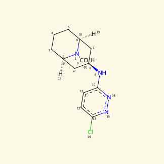 O=C(O)N1[C@@H]2CCC[C@H]1C[C@@H](Nc1ccc(Cl)nn1)C2